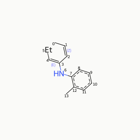 C/C=C\C(=C/CC)Nc1ccccc1C